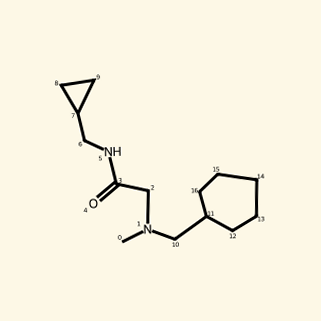 CN(CC(=O)NCC1CC1)CC1CCCCC1